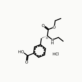 CCN[C@H](Cc1cccc(C(=O)O)c1)C(=O)OCC.Cl